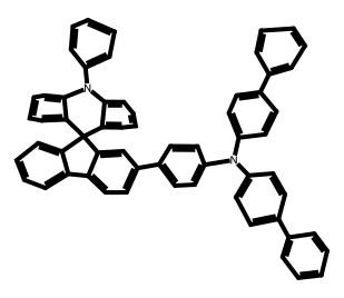 c1ccc(-c2ccc(N(c3ccc(-c4ccccc4)cc3)c3ccc(-c4ccc5c(c4)C4(c6ccccc6-5)c5ccccc5N(c5ccccc5)c5ccccc54)cc3)cc2)cc1